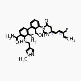 C=C/C(F)=C\C=C1/CC(=O)N(c2cccc(-c3ccc(C(N)=O)c(NCc4cnn(C)c4)c3C)c2CO)C=N1